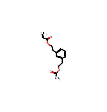 C=CC(=O)OCCc1cccc(CCOC(C)=O)c1